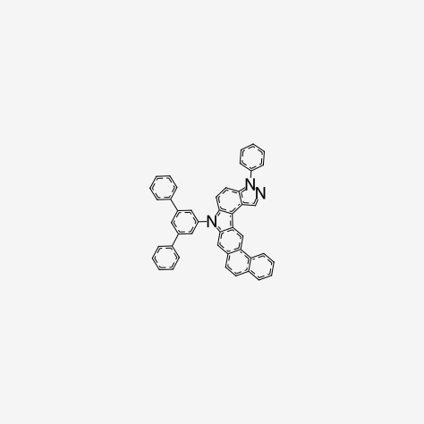 c1ccc(-c2cc(-c3ccccc3)cc(-n3c4cc5ccc6ccccc6c5cc4c4c5cnn(-c6ccccc6)c5ccc43)c2)cc1